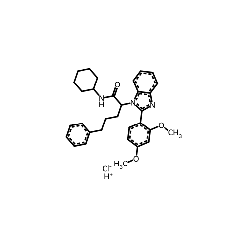 COc1ccc(-c2nc3ccccc3n2C(CCCc2ccccc2)C(=O)NC2CCCCC2)c(OC)c1.[Cl-].[H+]